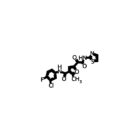 Cc1oc(C(=O)C(=O)Nc2nccs2)cc1C(=O)Nc1ccc(F)c(Cl)c1